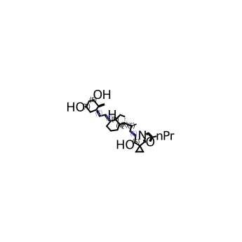 C=C1/C(=C\C=C2/CCC[C@]3(C)[C@@H]([C@@H](C)/C=C/[C@H](O)C4(c5ncc(CCC)o5)CC4)CC[C@@H]23)C[C@@H](O)C[C@@H]1O